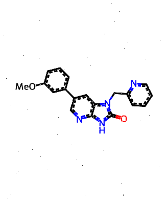 COc1cccc(-c2cnc3[nH]c(=O)n(Cc4ccccn4)c3c2)c1